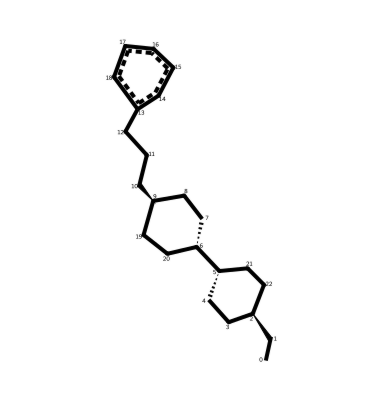 CC[C@H]1CC[C@H]([C@H]2CC[C@H](CCCc3ccccc3)CC2)CC1